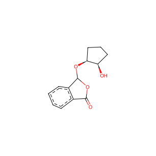 O=C1OC(O[C@H]2CCC[C@H]2O)c2ccccc21